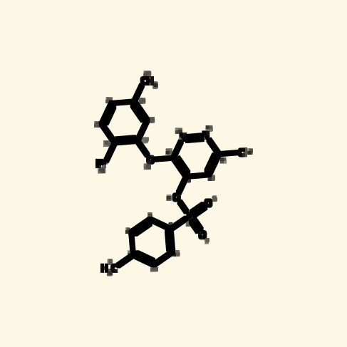 Cc1ccc(S(=O)(=O)Oc2cc(Cl)nnc2Oc2cc(C)ccc2C(C)C)cc1